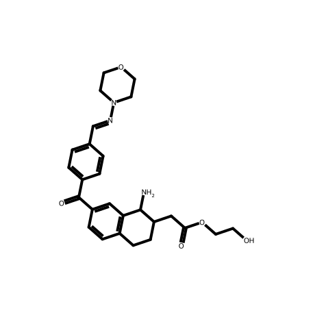 NC1c2cc(C(=O)c3ccc(C=NN4CCOCC4)cc3)ccc2CCC1CC(=O)OCCO